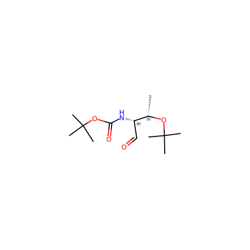 C[C@H](OC(C)(C)C)[C@H](C=O)NC(=O)OC(C)(C)C